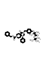 CC(C)(C)OC(=O)C(C)(C)Oc1ccc(CN2CN(c3ccccc3)C3(CCN(C(=O)OCc4ccccc4)CC3)C2=O)cc1